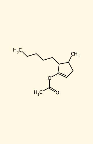 CCCCCC1C(OC(C)=O)=CCC1C